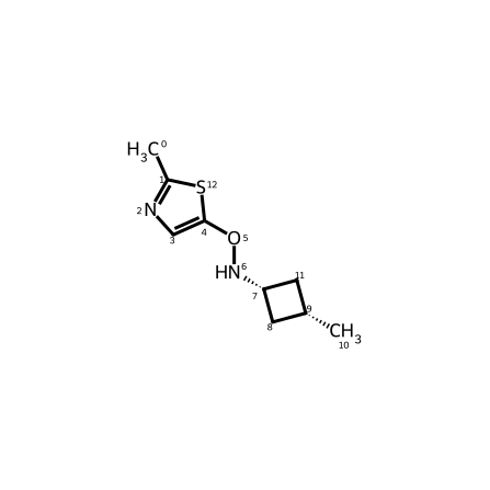 Cc1ncc(ON[C@H]2C[C@@H](C)C2)s1